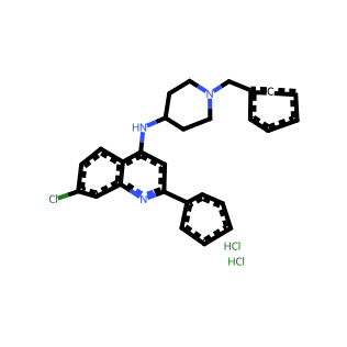 Cl.Cl.Clc1ccc2c(NC3CCN(Cc4ccccc4)CC3)cc(-c3ccccc3)nc2c1